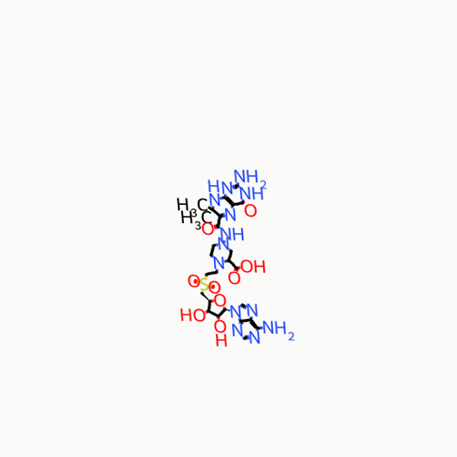 CC1(C)Nc2nc(N)[nH]c(=O)c2N=C1C(=O)NN1CCN(CCS(=O)(=O)C[C@H]2O[C@@H](n3cnc4c(N)ncnc43)C(O)C2O)C(C(=O)O)C1